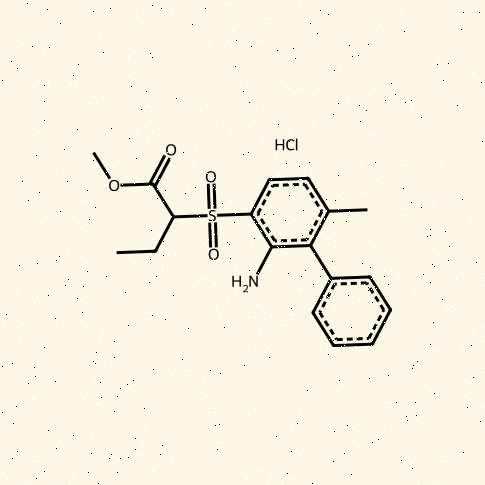 CCC(C(=O)OC)S(=O)(=O)c1ccc(C)c(-c2ccccc2)c1N.Cl